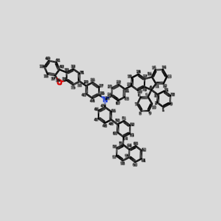 c1ccc(C2(c3ccccc3)c3ccccc3-c3ccc(-c4ccc(N(c5ccc(-c6ccc7c(c6)oc6ccccc67)cc5)c5cccc(-c6cccc(-c7cccc8ccccc78)c6)c5)cc4)cc32)cc1